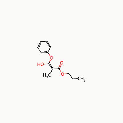 CCCOC(=O)C(C)=C(O)Oc1ccccc1